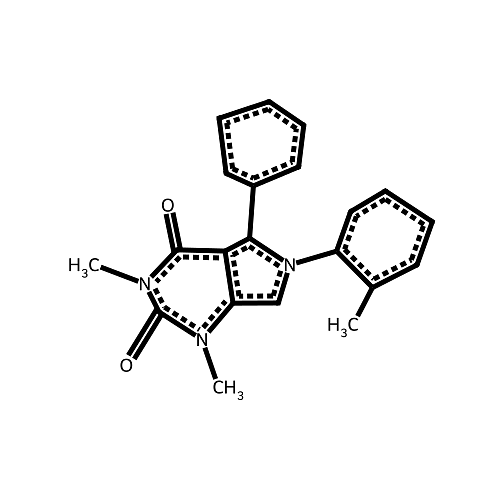 Cc1ccccc1-n1cc2c(c1-c1ccccc1)c(=O)n(C)c(=O)n2C